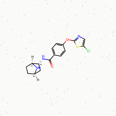 O=C(N[C@@H]1C[C@H]2CC[C@@H]1N2)c1ccc(Oc2ncc(Cl)s2)cc1